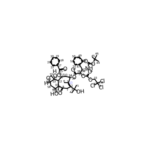 C/C1=C(/C(C)(C)O)CC(=O)[C@@]2(C)C([C@H](OC(=O)c3ccccc3)C[C@@H]1OC(=O)[C@H](OC(=O)OCC(Cl)(Cl)Cl)[C@@H](NC(=O)OC(C)(C)C)c1ccccc1)[C@]1(O)CO[C@@H]1C[C@@H]2O